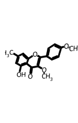 COc1ccc(-c2oc3cc(C)cc(O)c3c(=O)c2OC)cc1